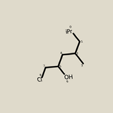 CC(C)CC(C)CC(O)CCl